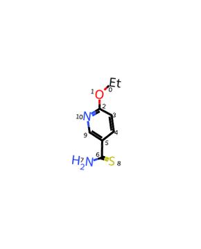 CCOc1ccc(C(N)=S)cn1